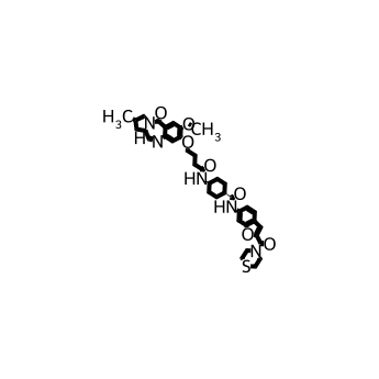 COc1cc2c(cc1OCCCC(=O)N[C@H]1CC[C@@H](C(=O)Nc3ccc4cc(C(=O)N5CCSCC5)oc4c3)CC1)N=C[C@@H]1CC(C)CN1C2=O